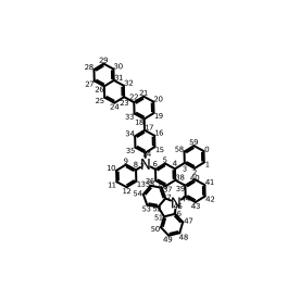 c1ccc(-c2cc(N(c3ccccc3)c3ccc(-c4cccc(-c5ccc6ccccc6c5)c4)cc3)ccc2-c2ccccc2-n2c3ccccc3c3ccccc32)cc1